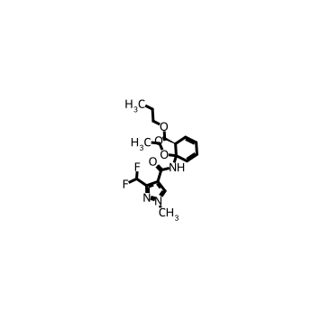 CCCOC(=O)[C@H]1C=CC=CC1(NC(=O)c1cn(C)nc1C(F)F)OCC